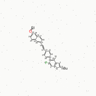 CCCCC1=Cc2c(cc(F)c(-c3ccc(C#Cc4ccc5cc(OCC)ccc5c4)cc3)c2C)C1